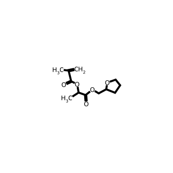 C=C(C)C(=O)OC(C)C(=O)OCC1CCCO1